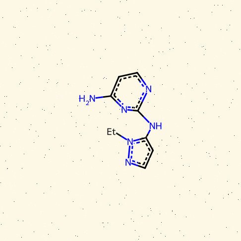 CCn1nccc1Nc1nccc(N)n1